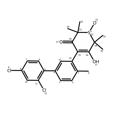 Cc1ccc(-c2ccc(Cl)cc2Cl)cc1C1=C(O)C(C)(C)[S+]([O-])C(C)(C)C1=O